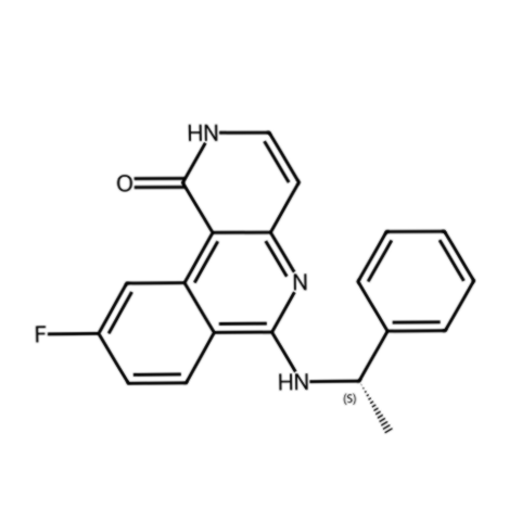 C[C@H](Nc1nc2cc[nH]c(=O)c2c2cc(F)ccc12)c1ccccc1